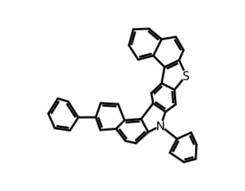 c1ccc(-c2ccc3c(ccc4c3c3cc5c(cc3n4-c3ccccc3)sc3ccc4ccccc4c35)c2)cc1